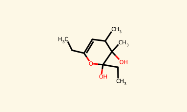 CCC1=CC(C)C(C)(O)C(O)(CC)O1